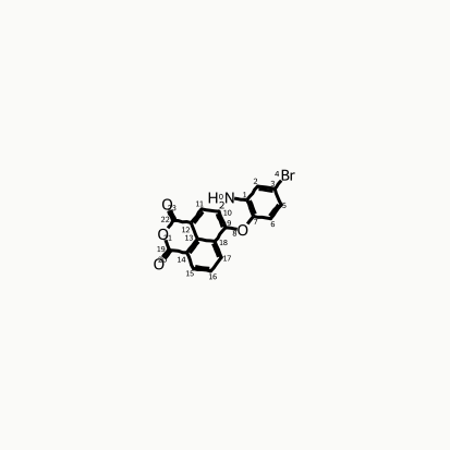 Nc1cc(Br)ccc1Oc1ccc2c3c(cccc13)C(=O)OC2=O